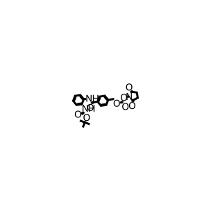 CC(C)(C)OC(=O)Nc1ccccc1NC(=O)c1ccc(COC(=O)ON2C(=O)CCC2=O)cc1